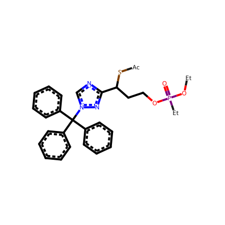 CCOP(=O)(CC)OCCC(SC(C)=O)c1ncn(C(c2ccccc2)(c2ccccc2)c2ccccc2)n1